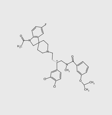 CC(=O)N1CC2(CCN(CC[C@H](CN(C)C(=O)c3cccc(OC(C)C)c3)c3ccc(Cl)c(Cl)c3)CC2)c2cc(F)ccc21